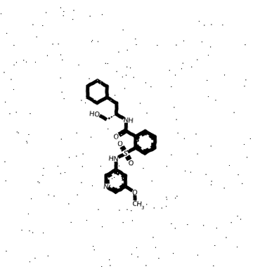 COc1cncc(NS(=O)(=O)c2ccccc2C(=O)N[C@H](CO)CC2CCCCC2)c1